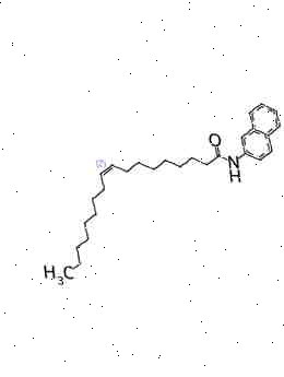 CCCCCCCC/C=C\CCCCCCCC(=O)Nc1ccc2ccccc2c1